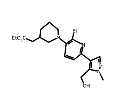 CCOC(=O)CC1CCCN(c2ccc(-c3cnn(C)c3CO)nc2CC)C1